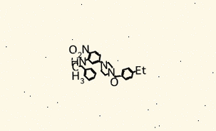 CCc1ccc(C(=O)N2CCN(c3ccc([N+](=O)[O-])c(NC(C)c4ccccc4)c3)CC2)cc1